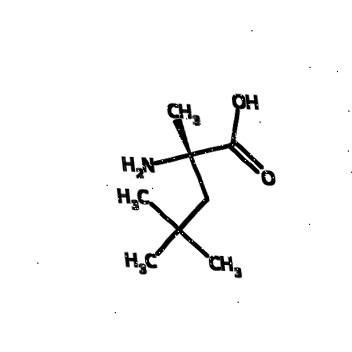 CC(C)(C)C[C@](C)(N)C(=O)O